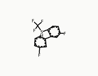 Fc1ccc2c(c1)-c1cc(F)ccc1[SH]2C(F)(F)F